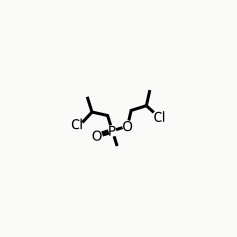 CC(Cl)COP(C)(=O)CC(C)Cl